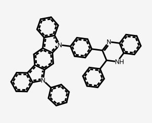 c1ccc(C2Nc3ccccc3N=C2c2ccc(-n3c4ccccc4c4cc5c6ccccc6n(-c6ccccc6)c5cc43)cc2)cc1